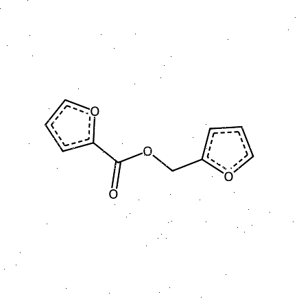 O=C(OCc1ccco1)c1ccco1